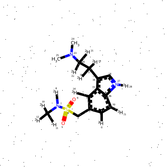 [2H]c1c(CS(=O)(=O)N([2H])C([2H])([2H])[2H])c([2H])c2c(C([2H])([2H])C([2H])([2H])N(C)C)cn([2H])c2c1[2H]